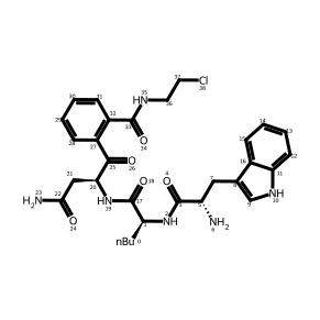 CCCC[C@H](NC(=O)[C@@H](N)Cc1c[nH]c2ccccc12)C(=O)N[C@@H](CC(N)=O)C(=O)c1[c]cccc1C(=O)NCCCl